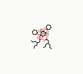 CCCC(CCC)CC(=O)OC1C(OC(=O)CC(CCC)CCC)[C@@H]2OC3(CCCCC3)O[C@H]2[C@H]2OC3(CCCCC3)O[C@@H]12